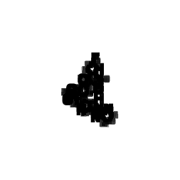 CNC(=O)c1c(-c2ccc(F)cc2)oc2cc(N(C)S(C)(=O)=O)c(-c3cncc(-c4nc5cccnc5[nH]4)c3)cc12